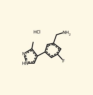 Cc1n[nH]cc1-c1cc(F)cc(CN)c1.Cl